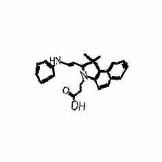 CC1(C)c2c(ccc3ccccc23)N(CCC(=O)O)C1/C=C/Nc1ccccc1